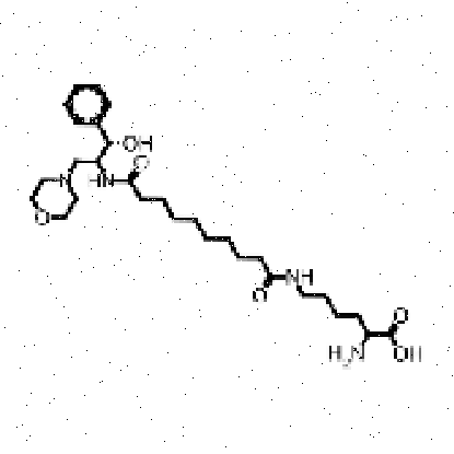 NC(CCCCNC(=O)CCCCCCCCC(=O)N[C@@H](CN1CCOCC1)[C@@H](O)c1ccccc1)C(=O)O